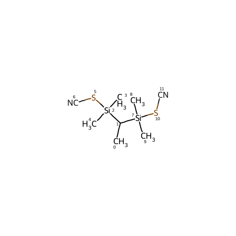 CC([Si](C)(C)SC#N)[Si](C)(C)SC#N